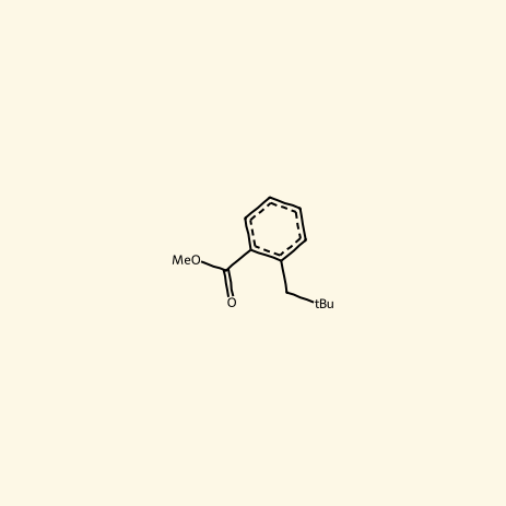 COC(=O)c1ccccc1CC(C)(C)C